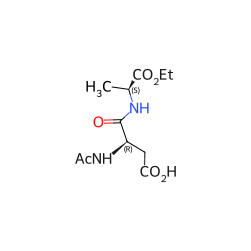 CCOC(=O)[C@H](C)NC(=O)[C@@H](CC(=O)O)NC(C)=O